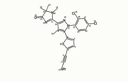 CCCC#Cc1ccc(-c2c(C)c(C3=NC(=O)C(C)(C)N3C)nn2-c2ccc(Cl)cc2Cl)s1